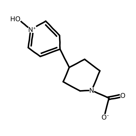 O=C([O-])N1CCC(c2cc[n+](O)cc2)CC1